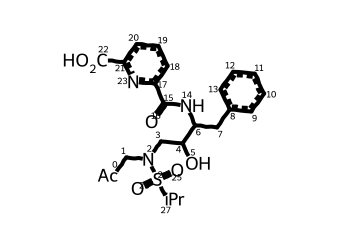 CC(=O)CN(CC(O)C(Cc1ccccc1)NC(=O)c1cccc(C(=O)O)n1)S(=O)(=O)C(C)C